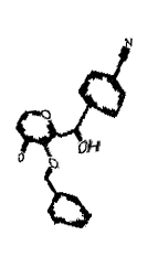 N#Cc1ccc(C(O)c2occc(=O)c2OCc2ccccc2)cc1